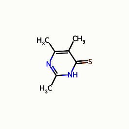 Cc1nc(C)c(C)c(=S)[nH]1